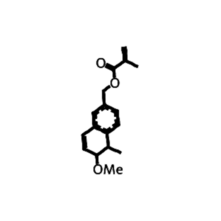 C=C(C)C(=O)OCc1ccc2c(c1)C=CC(OC)C2C